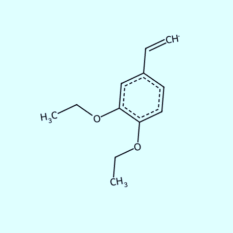 [CH]=Cc1ccc(OCC)c(OCC)c1